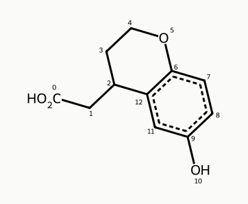 O=C(O)CC1CCOc2ccc(O)cc21